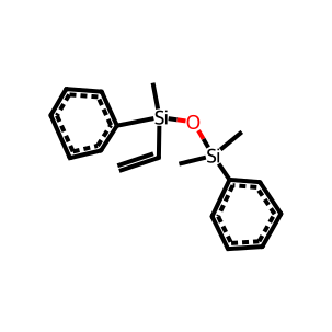 C=C[Si](C)(O[Si](C)(C)c1ccccc1)c1ccccc1